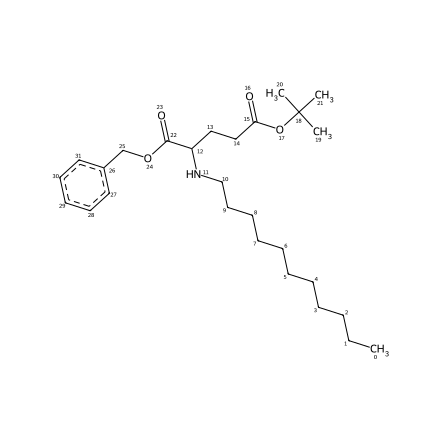 CCCCCCCCCCCNC(CCC(=O)OC(C)(C)C)C(=O)OCc1ccccc1